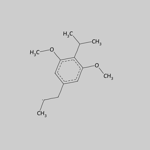 C[CH]Cc1cc(OC)c(C(C)C)c(OC)c1